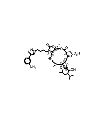 CC[C@H]1OC(=O)[C@H](CC(=O)O)C(=O)[C@H](C)[C@@H](O[C@@H]2OC(C)CC(N(C)C)C2O)[C@](C)(OC)C[C@@H](C)CN[C@H](C)[C@H]2N(CCCCn3cc(-c4cccc(N)c4)nn3)C(=O)O[C@]12C